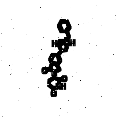 O=C1CCC(N2Cc3cc(C4C[C@H]5C[C@@H]4CN5Cc4ccccc4)ccc3C2=O)C(=O)N1